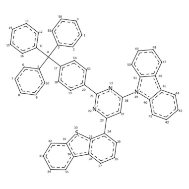 c1ccc(C(c2ccccc2)(c2ccccc2)c2ccc(-c3nc(-c4cccc5c4sc4ccccc45)cc(-n4c5ccccc5c5ccccc54)n3)cc2)cc1